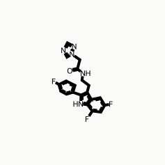 O=C(Cn1cncn1)NCCc1c(-c2ccc(F)cc2)[nH]c2c(F)cc(F)cc12